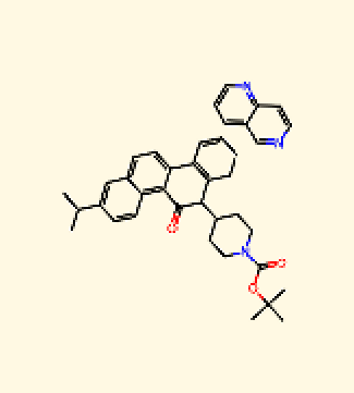 CC(C)c1ccc2c3c(ccc2c1)C1=C(CCC=C1)C(C1CCN(C(=O)OC(C)(C)C)CC1)C3=O.c1cnc2ccncc2c1